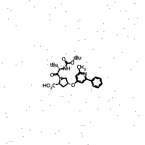 Cc1cc(O[C@@H]2C[C@@H](C(=O)O)N(C(=O)[C@@H](NC(=O)OC(C)(C)C)C(C)(C)C)C2)cc(-c2ccccc2)n1